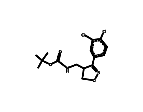 CC(C)(C)OC(=O)NCC1CON=C1c1ccc(Cl)c(Cl)c1